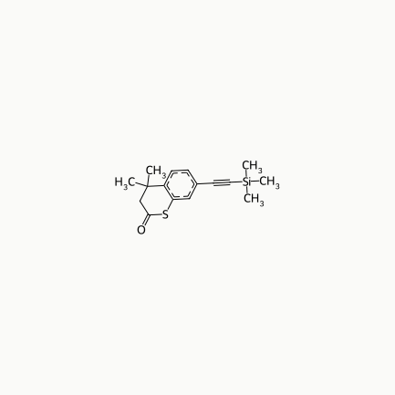 CC1(C)CC(=O)Sc2cc(C#C[Si](C)(C)C)ccc21